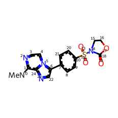 CNc1nccn2c(-c3ccc(S(=O)(=O)N4CCOC4=O)cc3)cnc12